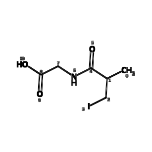 CC(CI)C(=O)NCC(=O)O